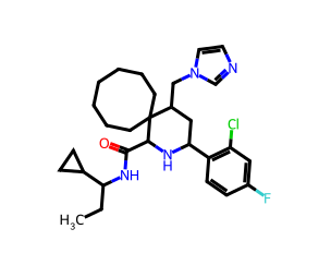 CCC(NC(=O)C1NC(c2ccc(F)cc2Cl)CC(Cn2ccnc2)C12CCCCCCC2)C1CC1